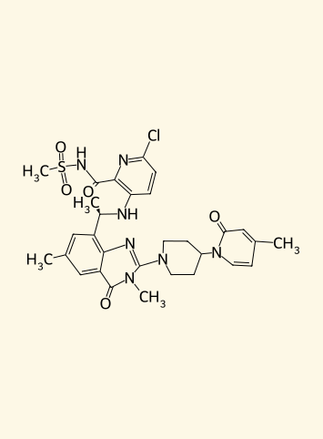 Cc1ccn(C2CCN(c3nc4c([C@@H](C)Nc5ccc(Cl)nc5C(=O)NS(C)(=O)=O)cc(C)cc4c(=O)n3C)CC2)c(=O)c1